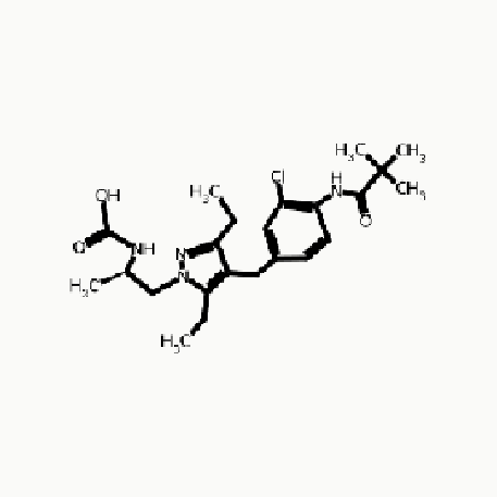 CCc1nn(C[C@@H](C)NC(=O)O)c(CC)c1Cc1ccc(NC(=O)C(C)(C)C)c(Cl)c1